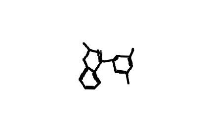 Cc1cc(C)cc(C2=NC(C)Cc3ccccc32)c1